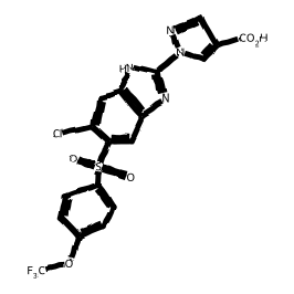 O=C(O)c1cnn(-c2nc3cc(S(=O)(=O)c4ccc(OC(F)(F)F)cc4)c(Cl)cc3[nH]2)c1